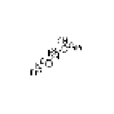 CCO/N=C1/CCc2c1cccc2-c1noc(-c2ccc(OC(C)C)c(C#N)c2)n1